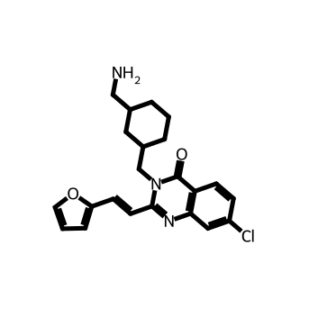 NCC1CCCC(Cn2c(C=Cc3ccco3)nc3cc(Cl)ccc3c2=O)C1